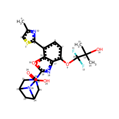 Cc1csc(-c2ccc(OC(F)(F)C(C)(C)O)c3nc(N4CC5CC(C4)N5C(=O)O)oc23)n1